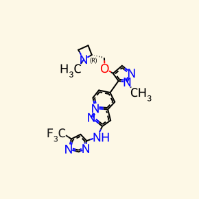 CN1CC[C@@H]1COc1cnn(C)c1-c1ccn2nc(Nc3cc(C(F)(F)F)ncn3)cc2c1